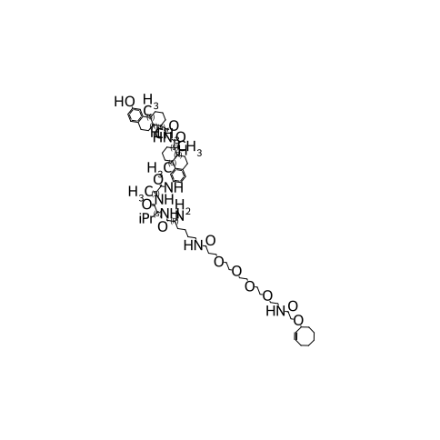 CC(C)[C@H](NC(=O)[C@H](N)CCCCNC(=O)CCOCCOCCOCCOCCNC(=O)COC1C#CCCCCC1)C(=O)N[C@@H](C)C(=O)Nc1ccc2c(c1)[C@@]1(C)CCC[C@](C)(C(=O)NC(=O)[C@@]3(C)CCC[C@]4(C)c5cc(O)ccc5CC[C@@H]34)[C@@H]1CC2